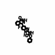 O=C(Nc1nc2cc(-c3n[nH]c(=O)c4cccc(F)c34)ccc2[nH]1)Oc1ccccc1